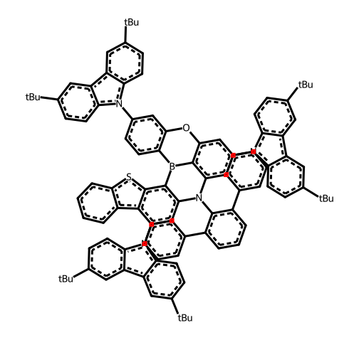 CC(C)(C)c1ccc2c(c1)c1cc(C(C)(C)C)ccc1n2-c1ccc2c(c1)Oc1cc(-n3c4ccc(C(C)(C)C)cc4c4cc(C(C)(C)C)ccc43)cc3c1B2c1c(cc(-n2c4ccc(C(C)(C)C)cc4c4cc(C(C)(C)C)ccc42)c2c1sc1ccccc12)N3c1c(-c2ccccc2)cccc1-c1ccccc1